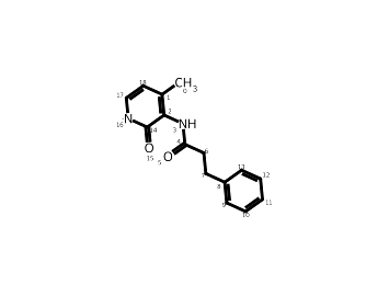 CC1=C(NC(=O)CCc2ccccc2)C(=O)[N]C=C1